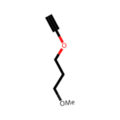 C#COCCCOC